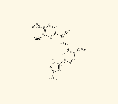 COc1ccc(-c2cc(C)cs2)cc1C=CC(=O)c1ccc(OC)c(OC)c1